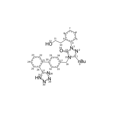 CCCCc1nn(-c2ccccc2CCO)c(=O)n1Cc1ccc(-c2ccccc2-c2nnn[nH]2)cc1